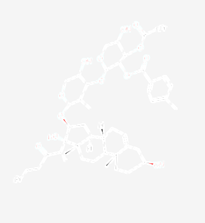 CCCC(=O)OC1C(O)COC(OC2C(O)COC(O[C@H]3C[C@H]4[C@@H]5CC=C6C[C@@H](O)CC[C@]6(C)C5CC[C@]4(C)[C@@]3(O)[C@H](C)C(=O)CCC(C)C)C2C)C1OC(=O)c1ccc(C)cc1